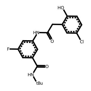 CC(C)(C)NC(=O)c1cc(F)cc(NC(=O)Cc2cc(Cl)ccc2O)c1